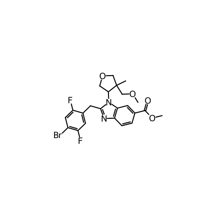 COCC1(C)COCC1n1c(Cc2cc(F)c(Br)cc2F)nc2ccc(C(=O)OC)cc21